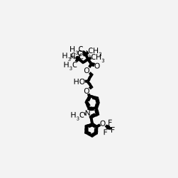 Cn1c(-c2ccccc2OC(F)(F)F)cc2ccc(OCC(O)COC(=O)C(C)(CC(C)(C)C)C(C)(C)C)cc21